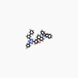 c1ccc(-c2cccc(-c3nc(-c4ccccc4)nc(-c4ccc5c(c4)-c4cccc6c(-n7c8ccccc8c8cc9ccccc9cc87)ccc(c46)O5)n3)c2)cc1